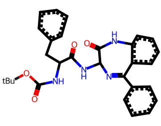 CC(C)(C)OC(=O)NC(Cc1ccccc1)C(=O)NC1N=C(c2ccccc2)c2ccccc2NC1=O